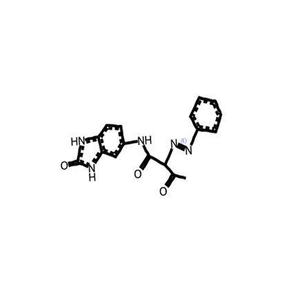 CC(=O)C(/N=N/c1ccccc1)C(=O)Nc1ccc2[nH]c(=O)[nH]c2c1